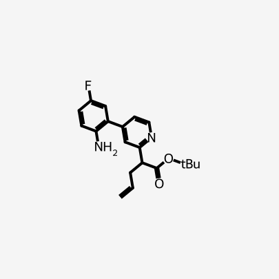 C=CCC(C(=O)OC(C)(C)C)c1cc(-c2cc(F)ccc2N)ccn1